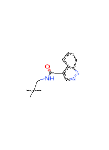 CC(C)(C)CNC(=O)c1cnnc2ccccc12